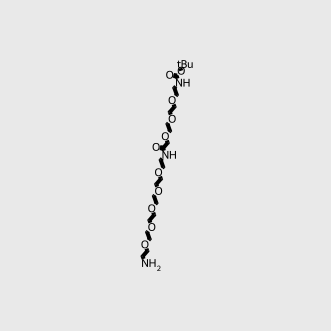 CC(C)(C)OC(=O)NCCOCCOCCOCC(=O)NCCOCCOCCOCCOCCOCCN